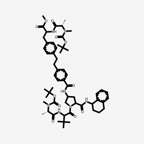 COC(=O)C(Cc1ccc(CCc2ccc(C(=O)NC3CC(C(=O)NC4CCCc5ccccc54)N(C(=O)C(NC(=O)[C@H](C)N(C)C(=O)OC(C)(C)C)C(C)(C)C)C3)cc2)cc1)NC(=O)[C@H](C)N(C)C(=O)OC(C)(C)C